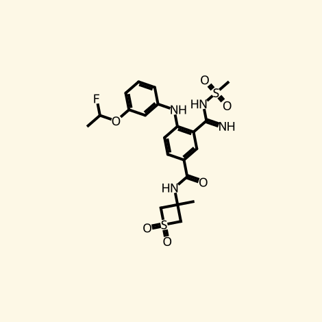 CC(F)Oc1cccc(Nc2ccc(C(=O)NC3(C)CS(=O)(=O)C3)cc2C(=N)NS(C)(=O)=O)c1